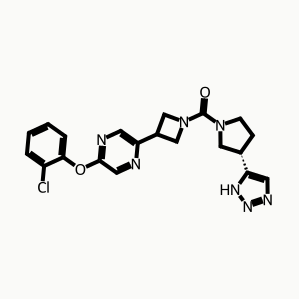 O=C(N1CC(c2cnc(Oc3ccccc3Cl)cn2)C1)N1CC[C@H](c2cnn[nH]2)C1